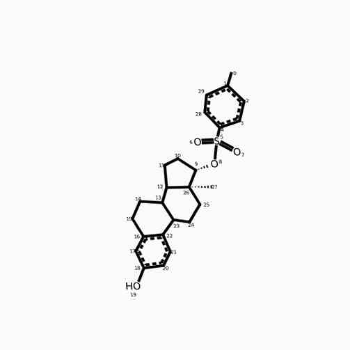 Cc1ccc(S(=O)(=O)O[C@H]2CCC3C4CCc5cc(O)ccc5C4CC[C@@]32C)cc1